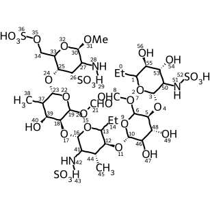 CCC1O[C@@H](O[C@@H]2C(OC=O)O[C@@H](O[C@@H]3C(CC)O[C@@H](O[C@@H]4C(OC=O)O[C@@H](O[C@H]5CC(NS(=O)(=O)O)[C@H](OC)OC5COS(=O)(=O)O)C(C)[C@@H]4O)C(NS(=O)(=O)O)[C@H]3C)C(O)[C@H]2O)C(NS(=O)(=O)O)[C@@H](O)[C@@H]1O